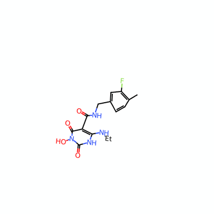 CCNc1[nH]c(=O)n(O)c(=O)c1C(=O)NCc1ccc(C)c(F)c1